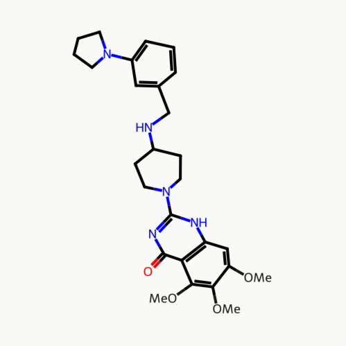 COc1cc2[nH]c(N3CCC(NCc4cccc(N5CCCC5)c4)CC3)nc(=O)c2c(OC)c1OC